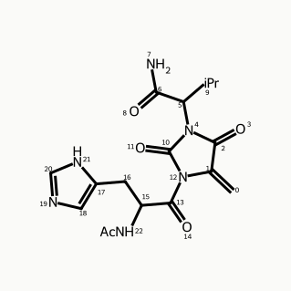 C=C1C(=O)N(C(C(N)=O)C(C)C)C(=O)N1C(=O)C(Cc1cnc[nH]1)NC(C)=O